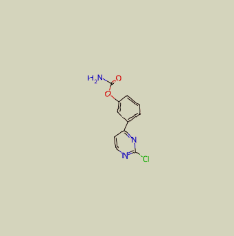 NC(=O)Oc1cccc(-c2ccnc(Cl)n2)c1